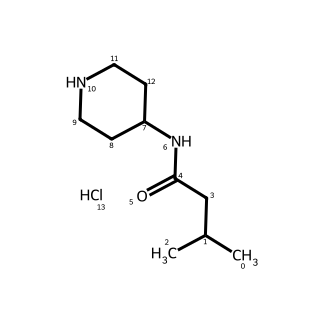 CC(C)CC(=O)NC1CCNCC1.Cl